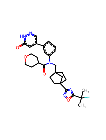 CC(C)(F)c1nc(C23CCC(CN(C(=O)C4CCOCC4)c4cccc(-c5cn[nH]c(=O)c5)c4)(CC2)C3)no1